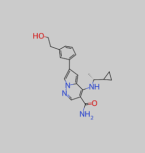 C[C@@H](Nc1c(C(N)=O)cnn2cc(-c3cccc(CCO)c3)cc12)C1CC1